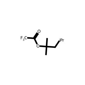 CC(C)CC(C)(C)OC(=O)C(F)(F)F